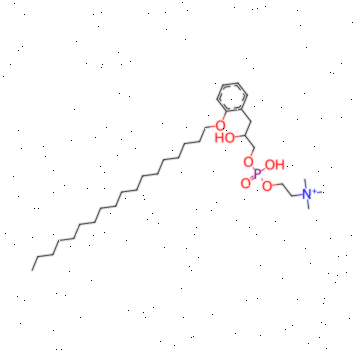 CCCCCCCCCCCCCCCCCCOc1ccccc1CC(O)COP(=O)(O)OCC[N+](C)(C)C